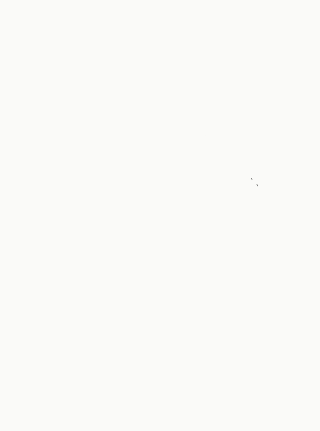 CCCc1ccc2c(Cl)nccc2c1